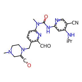 CC(C)Nc1cc(NC(=O)N(C)c2ccc(CN3CCN(C)CC3=C=O)c(C=O)n2)ncc1C#N